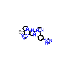 CC[C@@]12CCCN1c1nc(-n3ccnc3-c3cccc(-n4cncn4)c3)ncc1-n1cnnc12